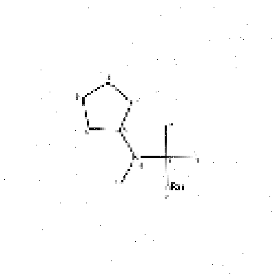 CCCCC(C)(C)N(C)C1CCCC1